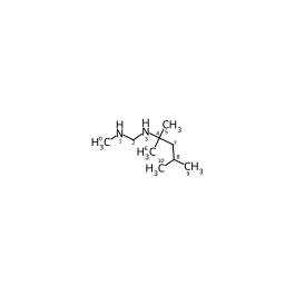 CNCNC(C)(C)CC(C)C